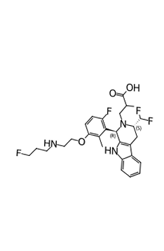 Cc1c(OCCNCCCF)ccc(F)c1[C@@H]1c2[nH]c3ccccc3c2C[C@@H](C(F)F)N1CC(C)C(=O)O